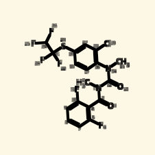 CN(C(=O)c1c(F)cccc1F)C(=O)N(C)c1ccc(SC(F)(F)C(F)F)cc1Cl